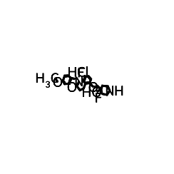 COc1ccc(CN2C(=O)CCc3c(OCC4(O)CCNCC4F)ccc(F)c32)cc1.Cl